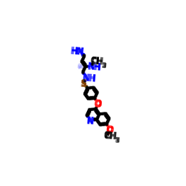 CN/C(=C\C=N)CNSc1ccc(Oc2ccnc3cc(OC)ccc23)cc1